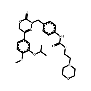 COc1ccc(C2=NN(Cc3ccc(NC(=O)OCCN4CCSCC4)cc3)C(=O)SC2)cc1OC(C)C